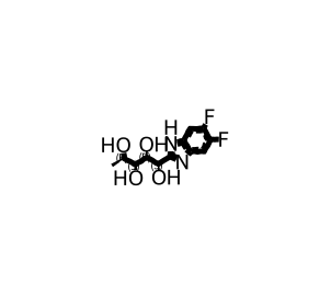 C[C@@H](O)[C@H](O)[C@H](O)[C@@H](O)c1nc2cc(F)c(F)cc2[nH]1